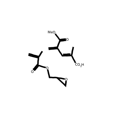 C=C(C)C(=O)OCC1CO1.C=C(C=C(C)C(=O)O)C(=O)OC